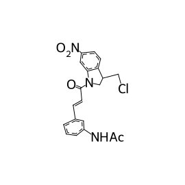 CC(=O)Nc1cccc(/C=C/C(=O)N2CC(CCl)c3ccc([N+](=O)[O-])cc32)c1